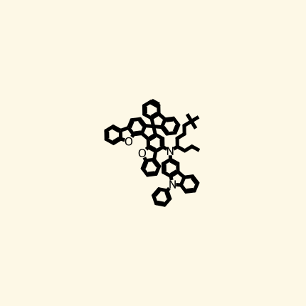 CCCC(CCCC(C)(C)C)N(c1ccc2c(c1)C1C=CC=CC1N2c1ccccc1)c1cc2c(c3oc4ccccc4c13)-c1c(ccc3c1oc1ccccc13)C21c2ccc#cc2-c2ccccc21